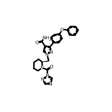 NC(=O)c1cn(C[C@@H]2CCCCN2C(=O)n2cncn2)nc1-c1ccc(Oc2ccccc2)cc1